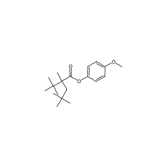 COc1ccc(OC(=O)C(C)(CC(C)(C)C)C(C)(C)C)cc1